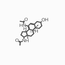 CC(=O)NC1=C2[C@@H](CC[C@]3(C)C(NC(C)=O)CC[C@@H]23)[C@@]2(C)CCC(O)CC2=C1